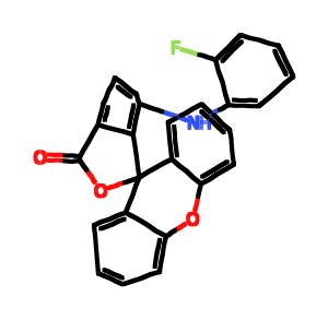 O=C1OC2(c3ccccc3Oc3ccccc32)c2c(Nc3ccccc3F)cccc21